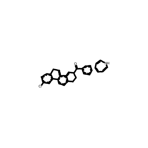 C1=CC=CNC=C1.O=C(c1ccccc1)C1C=c2c(ccc3c2=CCc2ccc(Cl)cc2-3)CC1